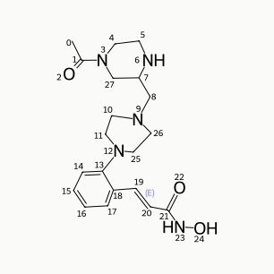 CC(=O)N1CCNC(CN2CCN(c3ccccc3/C=C/C(=O)NO)CC2)C1